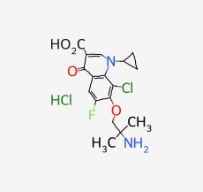 CC(C)(N)COc1c(F)cc2c(=O)c(C(=O)O)cn(C3CC3)c2c1Cl.Cl